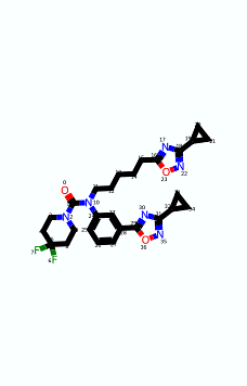 O=C(N1CCC(F)(F)CC1)N(CCCCCc1nc(C2CC2)no1)c1cccc(-c2nc(C3CC3)no2)c1